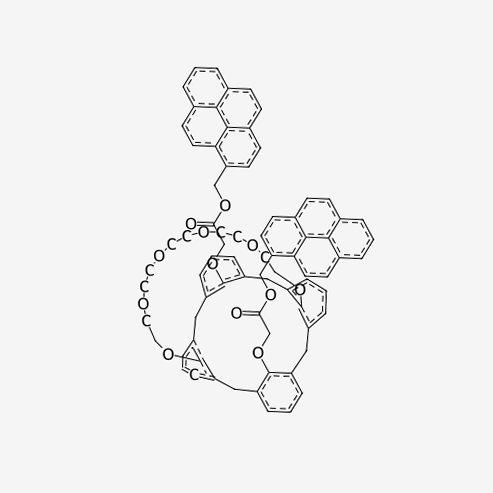 O=C(COc1c2cccc1Cc1cccc3c1OCCOCCOCCOCCOCCOc1c(cccc1Cc1cccc(c1OCC(=O)OCc1ccc4ccc5cccc6ccc1c4c56)C3)C2)OCc1ccc2ccc3cccc4ccc1c2c34